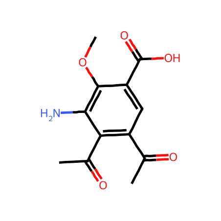 COc1c(C(=O)O)cc(C(C)=O)c(C(C)=O)c1N